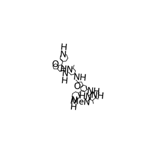 CNC1NC(Nc2cc3c(c(C4=CCNCCC4)c2)OC(CNC2CC(C)NC(Nc4cc5c(c(C6=CCNCCC6)c4)OCC5)C2)C3)NC(C)C1C